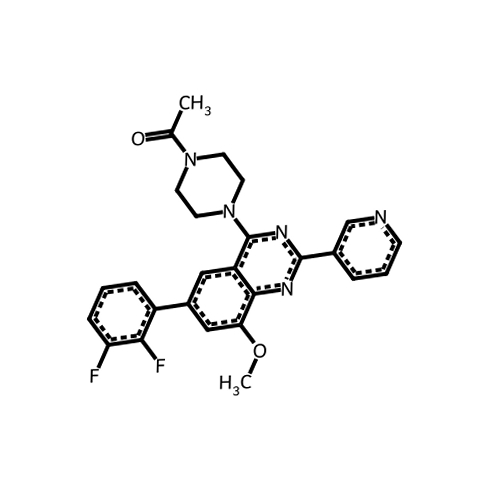 COc1cc(-c2cccc(F)c2F)cc2c(N3CCN(C(C)=O)CC3)nc(-c3cccnc3)nc12